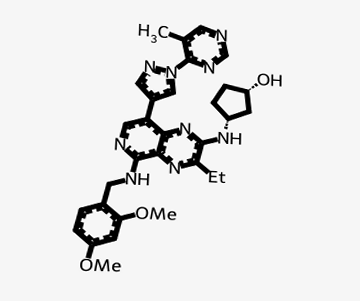 CCc1nc2c(NCc3ccc(OC)cc3OC)ncc(-c3cnn(-c4ncncc4C)c3)c2nc1N[C@@H]1CC[C@H](O)C1